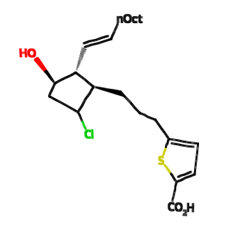 CCCCCCCCC=C[C@H]1[C@H](O)CC(Cl)[C@@H]1CCCc1ccc(C(=O)O)s1